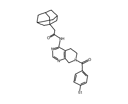 CCc1ccc(C(=O)N2CCc3c(ncnc3NC(=O)CC34CC5CC(CC(C5)C3)C4)C2)cc1